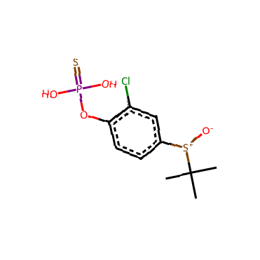 CC(C)(C)[S+]([O-])c1ccc(OP(O)(O)=S)c(Cl)c1